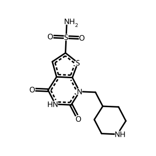 NS(=O)(=O)c1cc2c(=O)[nH]c(=O)n(CC3CCNCC3)c2s1